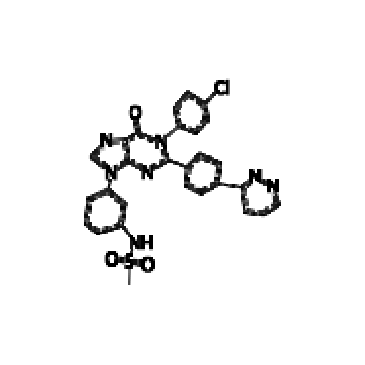 CS(=O)(=O)Nc1cccc(-n2cnc3c(=O)n(-c4ccc(Cl)cc4)c(-c4ccc(-c5cccnn5)cc4)nc32)c1